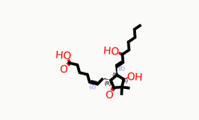 CCCCCC(O)/C=C/[C@@H]1[C@@H](C/C=C\CCCC(=O)O)C(=O)C(C)(C)[C@H]1O